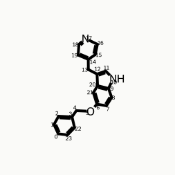 c1ccc(COc2ccc3[nH]cc(Cc4ccncc4)c3c2)cc1